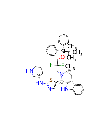 C[C@@H]1Cc2c([nH]c3ccccc23)[C@@H](c2cnc(N[C@H]3CCCNC3)s2)N1CC(F)(F)CO[Si](c1ccccc1)(c1ccccc1)C(C)(C)C